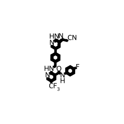 N#CCc1n[nH]c2ncc(-c3ccc(CNc4ncc(C(F)(F)F)cc4C(=O)Nc4ccc(F)cc4)cc3)cc12